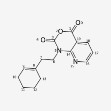 O=c1oc(=O)n(CCC2=CCCCC2)c2ncccc12